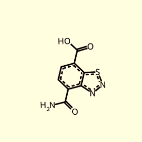 NC(=O)c1ccc(C(=O)O)c2snnc12